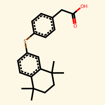 CC1(C)CCC(C)(C)c2cc(Sc3ccc(CC(=O)O)cc3)ccc21